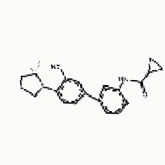 C[C@H]1CCCN1c1ccc(-c2cccc(NC(=O)C3CC3)c2)cc1C#N